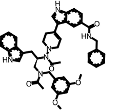 COc1cc(CN(C[C@@H](Cc2c[nH]c3ccccc23)N(C(C)=O)N2CC=C(c3c[nH]c4ccc(C(=O)NCc5ccccc5)cc34)CC2)C(C)=O)cc(OC)c1